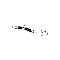 N.O=[N+]=O